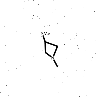 CSC1CN(C)C1